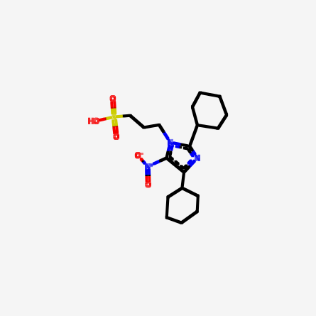 O=[N+]([O-])c1c(C2CCCCC2)nc(C2CCCCC2)n1CCCS(=O)(=O)O